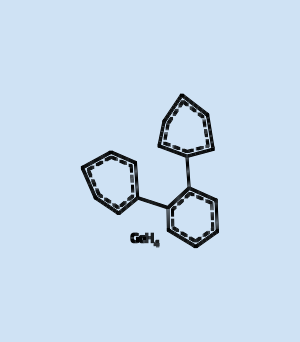 [GeH4].c1ccc(-c2ccccc2-c2ccccc2)cc1